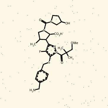 COCC(C)(C)C(=O)n1nc(C2C(C)CN(C(=O)N3CCC(O)C3)C2C(=O)O)c(F)c1SCc1ccc(CN)cc1